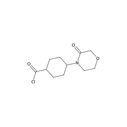 O=C(Cl)C1CCC(N2CCOCC2=O)CC1